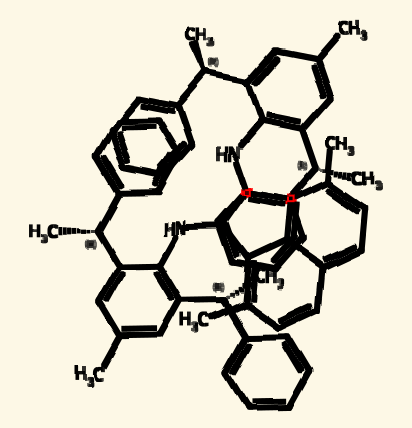 Cc1cc([C@H](C)c2ccccc2)c(NC2c3c(C)ccc4ccc(C)c(c34)C2Nc2c([C@H](C)c3ccccc3)cc(C)cc2[C@H](C)c2ccccc2)c([C@H](C)c2ccccc2)c1